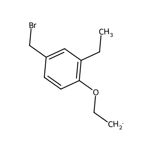 [CH2]COc1ccc(CBr)cc1CC